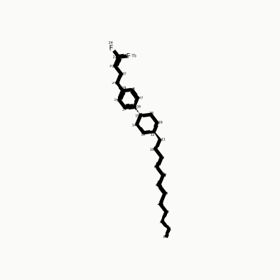 CCCCCCCCCCCC[C@H]1CC[C@H](c2ccc(CCC=C(F)F)cc2)CC1